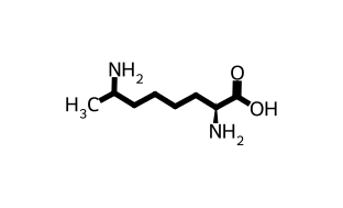 CC(N)CCCC[C@H](N)C(=O)O